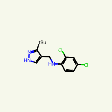 CC(C)(C)c1n[nH]cc1CNc1ccc(Cl)cc1Cl